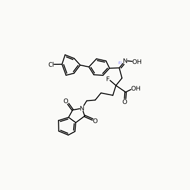 O=C1c2ccccc2C(=O)N1CCCCC(F)(C/C(=N\O)c1ccc(-c2ccc(Cl)cc2)cc1)C(=O)O